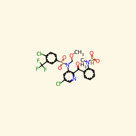 COCN(c1cc(Cl)cnc1C(=O)c1ccccc1N(C)[SH](=O)=O)S(=O)(=O)c1ccc(Cl)c(C(F)(F)F)c1